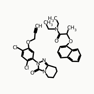 C#CCOc1cc(-n2nc3n(c2=O)CCCC3)c(Cl)cc1Cl.CCN(CC)C(=O)C(C)Oc1cccc2ccccc12